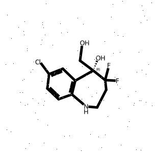 OC[C@]1(O)c2cc(Cl)ccc2NCCC1(F)F